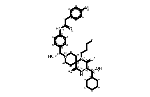 CCCCN1C(=O)[C@@H]([C@H](O)C2CCCCC2)NC(=O)C12CCN(Cc1ccc(NC(=O)Cc3ccc(Br)cc3)cc1)CC2.Cl